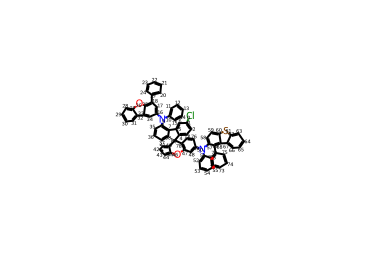 Clc1ccc2c(c1)-c1c(N(c3ccccc3)c3cc(-c4ccccc4)c4oc5ccccc5c4c3)cccc1[C@]21c2ccccc2Oc2cc(N(c3ccccc3)c3ccc4sc5ccccc5c4c3-c3ccccc3)ccc21